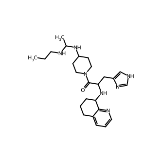 CCCNC(C)NC1CCN(C(=O)C(Cc2c[nH]cn2)NC2CCCc3cccnc32)CC1